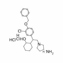 Cl.Cl.N[C@@H]1CCN(CC(c2ccc(OCc3ccccc3)c(Cl)c2)C2CCCCC2O)C1